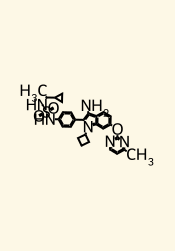 Cc1ccnc(Oc2ccc3c(N)c(-c4ccc(NS(=O)(=O)N[C@@H](C)C5CC5)cc4)n(C4CCC4)c3c2)n1